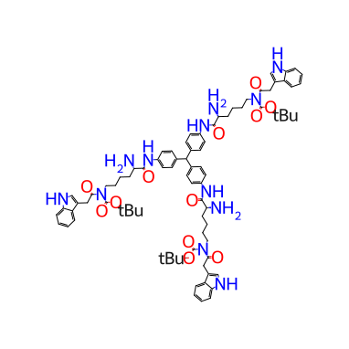 CC(C)(C)OC(=O)N(CCCC[C@H](N)C(=O)Nc1ccc(C(c2ccc(NC(=O)[C@@H](N)CCCCN(C(=O)Cc3c[nH]c4ccccc34)C(=O)OC(C)(C)C)cc2)c2ccc(NC(=O)[C@@H](N)CCCCN(C(=O)Cc3c[nH]c4ccccc34)C(=O)OC(C)(C)C)cc2)cc1)C(=O)Cc1c[nH]c2ccccc12